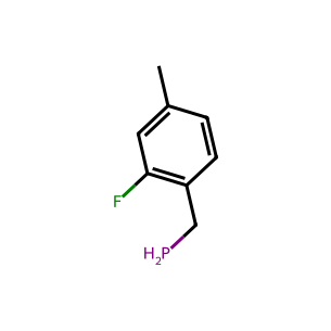 Cc1ccc(CP)c(F)c1